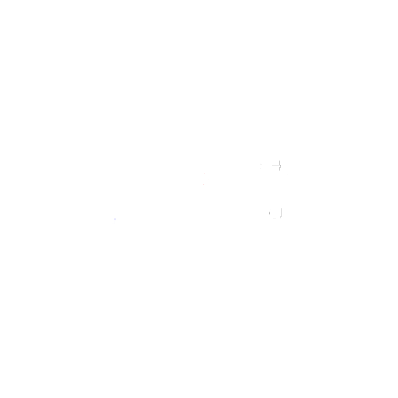 CC(C)COC1CC/C=C/CCC1